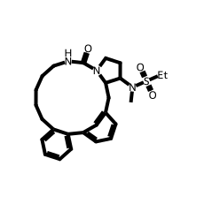 CCS(=O)(=O)N(C)C1CCN2C(=O)NCCCCCc3ccccc3-c3cccc(c3)CC12